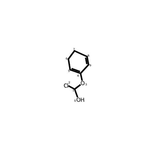 OC(Cl)OC1=CCCC=C1